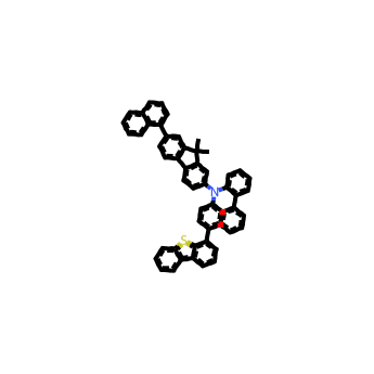 CC1(C)c2cc(-c3cccc4ccccc34)ccc2-c2ccc(N(c3ccc(-c4cccc5c4sc4ccccc45)cc3)c3ccccc3-c3ccccc3)cc21